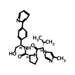 Cc1cn([C@H](C(=O)N2CCC[C@H]2C(=O)N[C@@H](CO)c2ccc(-c3ccccn3)cc2)C(C)C)cn1